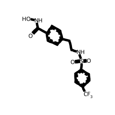 O=C(NO)c1ccc(CCNS(=O)(=O)c2ccc(C(F)(F)F)cc2)cc1